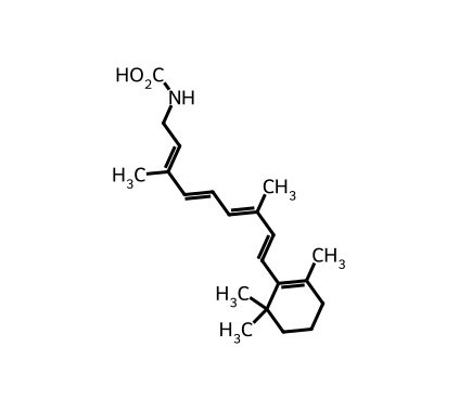 CC(C=CC1=C(C)CCCC1(C)C)=CC=CC(C)=CCNC(=O)O